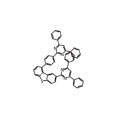 c1ccc(-c2cc(-c3ccccc3)nc(-c3ccc(-c4cccc5sc6ccc(-c7nc(-c8ccccc8)cc(-c8ccccc8)n7)cc6c45)cc3)n2)cc1